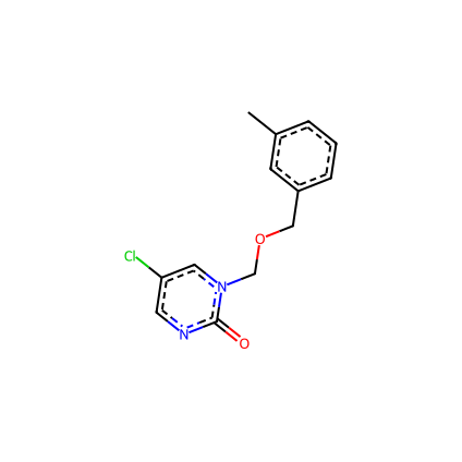 Cc1cccc(COCn2cc(Cl)cnc2=O)c1